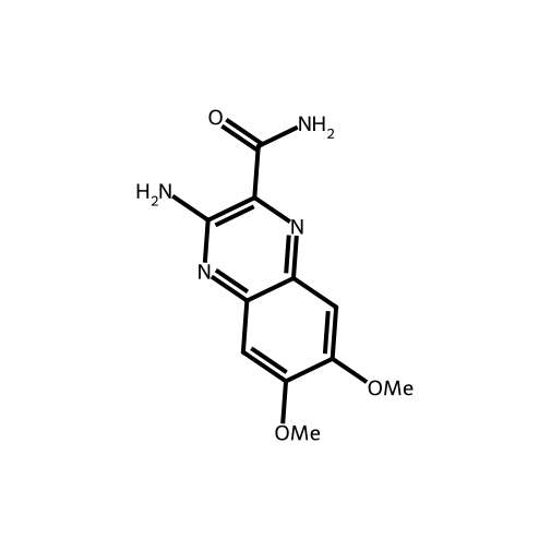 COc1cc2nc(N)c(C(N)=O)nc2cc1OC